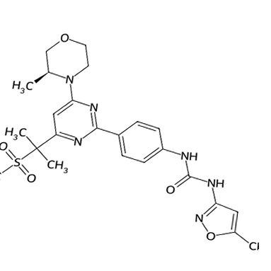 Cc1cc(NC(=O)Nc2ccc(-c3nc(N4CCOC[C@@H]4C)cc(C(C)(C)S(C)(=O)=O)n3)cc2)no1